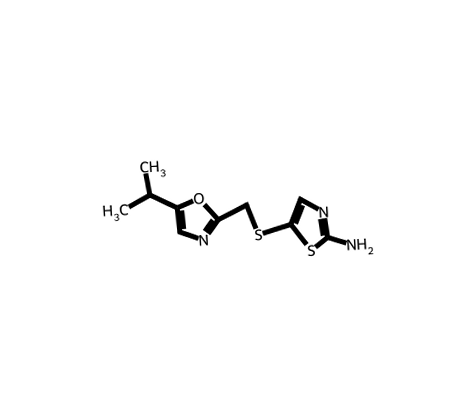 CC(C)c1cnc(CSc2cnc(N)s2)o1